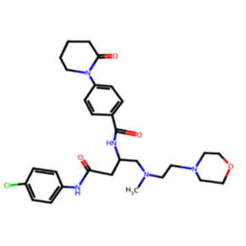 CN(CCN1CCOCC1)CC(CC(=O)Nc1ccc(Cl)cc1)NC(=O)c1ccc(N2CCCCC2=O)cc1